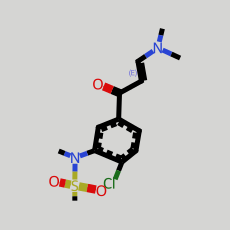 CN(C)/C=C/C(=O)c1ccc(Cl)c(N(C)S(C)(=O)=O)c1